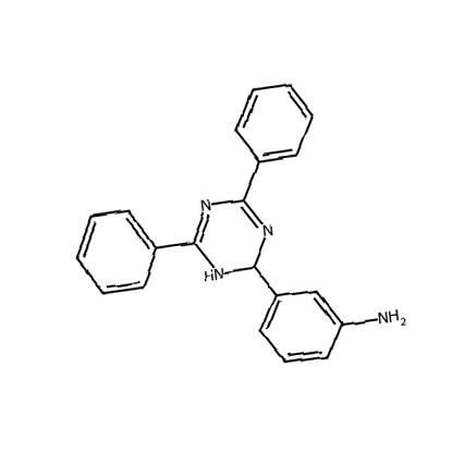 Nc1cccc(C2N=C(c3ccccc3)N=C(c3ccccc3)N2)c1